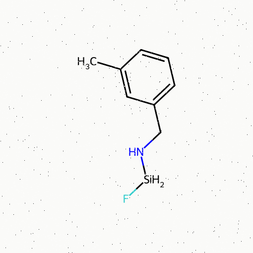 Cc1cccc(CN[SiH2]F)c1